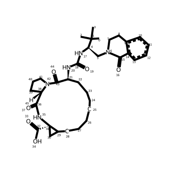 CC(C)(C)[C@@H](CN1CCc2ccccc2C1=O)NC(=O)N[C@H]1CCCCCCCC2C[C@@]2(C(=O)O)NC(=O)[C@@H]2CCCN2C1=O